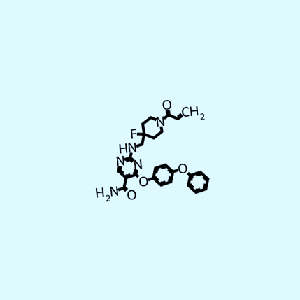 C=CC(=O)N1CCC(F)(CNc2ncc(C(N)=O)c(Oc3ccc(Oc4ccccc4)cc3)n2)CC1